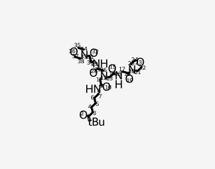 CC(C)(C)C(=O)CCCCCNC(=O)CN(CC(=O)NCC(=O)N1CCOCC1)CC(=O)NCC(=O)N1CCOCC1